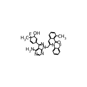 Cc1cccc2cc(Cn3nc(C4=CC(O)C(C)(F)C=C4)c4c(N)ncnc43)n(-c3ccccc3F)c(=O)c12